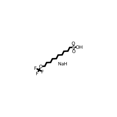 O=S(=O)(O)CCCCCCCCCCOC(F)(F)F.[NaH]